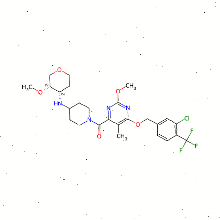 COc1nc(OCc2ccc(C(F)(F)F)c(Cl)c2)c(C)c(C(=O)N2CCC(N[C@H]3CCOC[C@H]3OC)CC2)n1